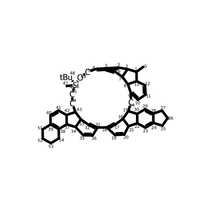 CC1C2C=C3C=CC2C2C(=CC=CC12)CC1C2C=C(C=CC2C2C=C4CCCC4=CC21)C1=CC2C(C=C1)C1C4=C(C=CC1C2CC[Si](C)(C(C)(C)C)OC3)CCCC4